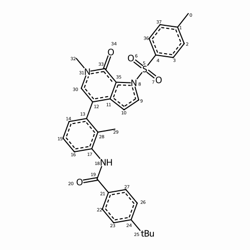 Cc1ccc(S(=O)(=O)n2ccc3c(-c4cccc(NC(=O)c5ccc(C(C)(C)C)cc5)c4C)cn(C)c(=O)c32)cc1